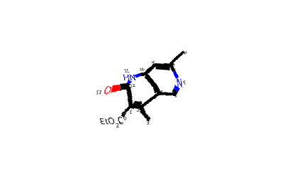 CCOC(=O)c1c(C)c2cnc(C)cc2[nH]c1=O